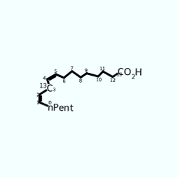 CCCCC/C=C\[13CH2]/C=C\CCCCCCCC(=O)O